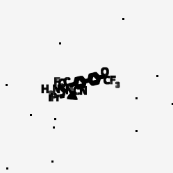 CC(C)C[C@@H](C(N)=O)N([C@@H](c1ccc(-c2ccc(C(=O)C(F)(F)F)cc2)cc1)C(F)(F)F)C1(C#N)CC1